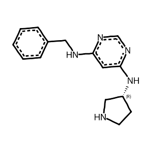 c1ccc(CNc2cc(N[C@@H]3CCNC3)ncn2)cc1